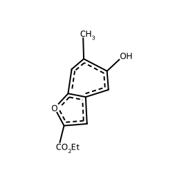 CCOC(=O)c1cc2cc(O)c(C)cc2o1